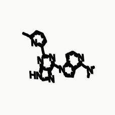 Cc1cccc(-c2nc(-n3ccc4c(N(C)C)nccc43)c3nc[nH]c3n2)n1